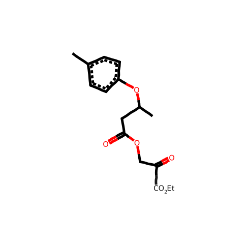 CCOC(=O)C(=O)COC(=O)CC(C)Oc1ccc(C)cc1